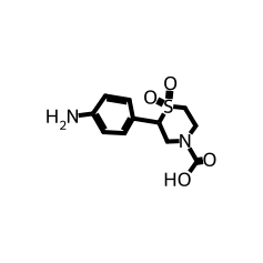 Nc1ccc(C2CN(C(=O)O)CCS2(=O)=O)cc1